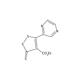 CCOC(=O)c1c(-c2cnccn2)ssc1=S